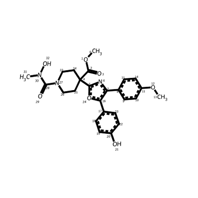 COC(=O)C1(c2nc(-c3ccc(OC)cc3)c(-c3ccc(O)cc3)o2)CCN(C(=O)N(C)O)CC1